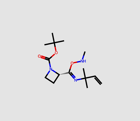 C=CC(C)(C)/N=C(\ONC)[C@@H]1CCN1C(=O)OC(C)(C)C